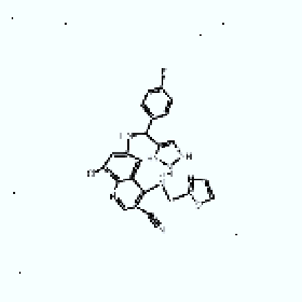 N#Cc1cnc2c(Cl)cc(N[C@H](C3=CNNN3)c3ccc(F)cc3)cc2c1NCc1nccs1